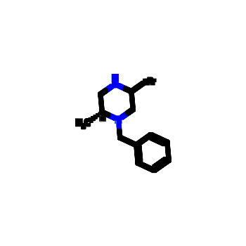 CCCC1CN(Cc2ccccc2)[C@H](C)CN1